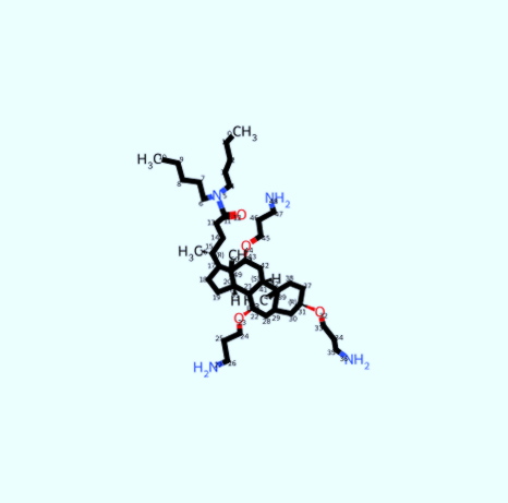 CCCCCN(CCCCC)C(=O)CC[C@@H](C)C1CC[C@H]2C3[C@H](OCCCN)CC4C[C@H](OCCCN)CCC4(C)[C@H]3C[C@H](OCCCN)C12C